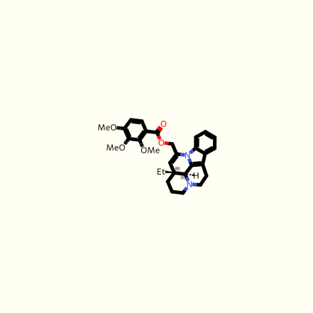 CC[C@]12C=C(COC(=O)c3ccc(OC)c(OC)c3OC)n3c4c(c5ccccc53)CCN(CCC1)[C@H]42